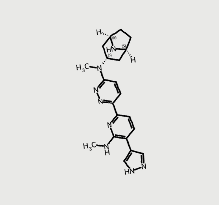 CNc1nc(-c2ccc(N(C)[C@@H]3C[C@H]4CC[C@@H](C3)N4)nn2)ccc1-c1cn[nH]c1